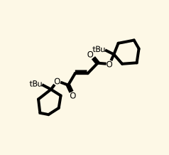 CC(C)(C)C1(OC(=O)/C=C/C(=O)OC2(C(C)(C)C)CCCCC2)CCCCC1